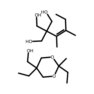 CCC(C)=C(C)C(CO)(CO)CO.CCC1(CO)COC(C)(CC)OC1